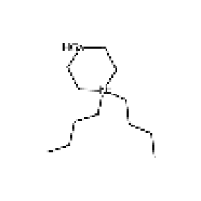 CCCC[N+]1(CCCC)C[CH2][GaH][CH2]C1